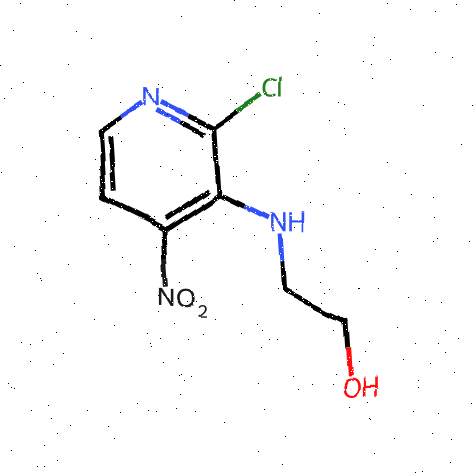 O=[N+]([O-])c1ccnc(Cl)c1NCCO